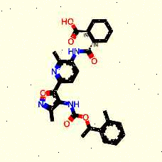 Cc1ccccc1C(C)OC(=O)Nc1c(C)noc1-c1ccc(NC(=O)[C@H]2CCCC[C@@H]2C(=O)O)c(C)n1